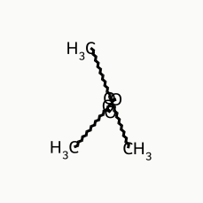 CCCCCCCCCCCCCCCCOC(=O)C(CCCCCCCCCCCCCC)OC(=O)CCCCCCCCCCCCCCC